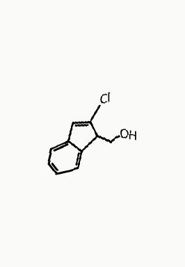 OCC1C(Cl)=Cc2ccccc21